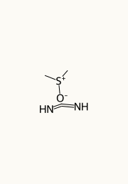 C[S+](C)[O-].N=C=N